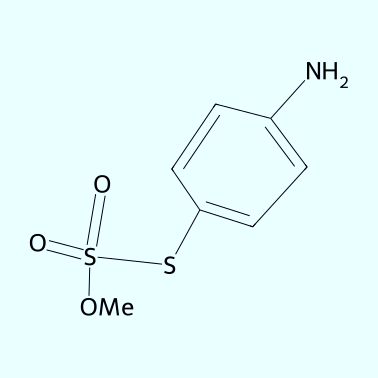 COS(=O)(=O)Sc1ccc(N)cc1